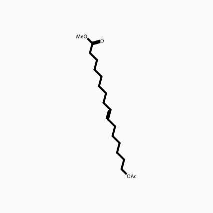 COC(=O)CCCCCCC/C=C/CCCCCCOC(C)=O